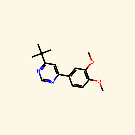 COc1ccc(-c2cc(C(C)(C)C)ncn2)cc1OC